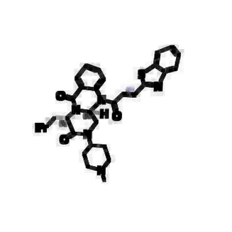 CC(C)C[C@H]1C(=O)N(C2CCN(C)CC2)C[C@@H]2N(C(=O)/C=C/c3nc4ccccc4s3)c3ccccc3C(=O)N21